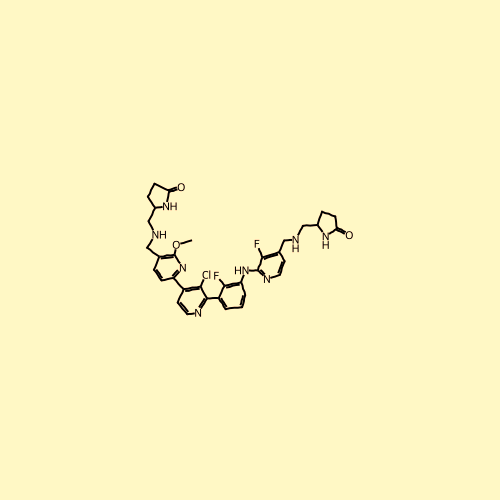 COc1nc(-c2ccnc(-c3cccc(Nc4nccc(CNCC5CCC(=O)N5)c4F)c3F)c2Cl)ccc1CNCC1CCC(=O)N1